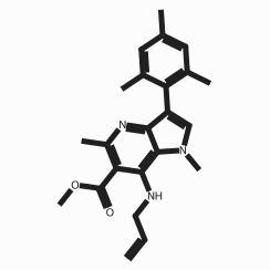 C=CCNc1c(C(=O)OC)c(C)nc2c(-c3c(C)cc(C)cc3C)cn(C)c12